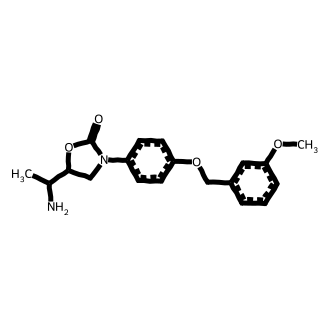 COc1cccc(COc2ccc(N3CC(C(C)N)OC3=O)cc2)c1